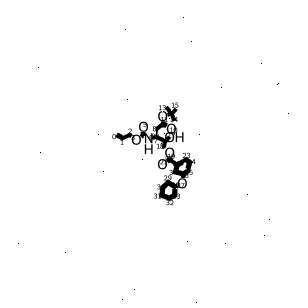 C=CCOC(=O)N[C@@H](CC(=O)OC(C)(C)C)C(O)COC(=O)c1cccc(Oc2ccccc2)c1